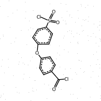 O=C(Cl)c1ccc(Oc2ccc(S(=O)(=O)Cl)cc2)cc1